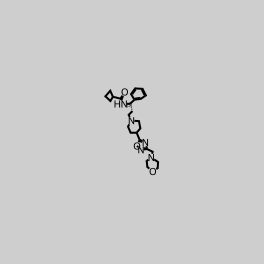 O=C(N[C@@H](CCN1CCC(c2nc(CN3CCOCC3)no2)CC1)c1ccccc1)C1CCC1